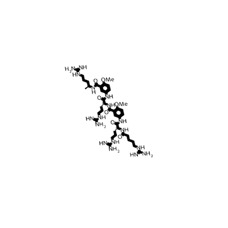 COc1ccc(NC(=O)[C@@H](CCCNC(=N)N)NC(=O)c2cc(NC(=O)[C@@H](CCCNC(=N)N)NC(=O)CCCCNC(=N)N)ccc2OC)cc1C(=O)N[C@@H](C)CCCNC(=N)N